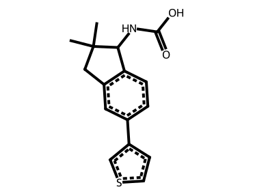 CC1(C)Cc2cc(-c3ccsc3)ccc2C1NC(=O)O